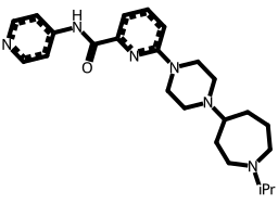 CC(C)N1CCCC(N2CCN(c3cccc(C(=O)Nc4ccncc4)n3)CC2)CC1